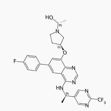 C[C@@H](Nc1ncnc2c(O[C@H]3CCN([C@@H](C)O)C3)cc(-c3ccc(F)cc3)cc12)c1cnc(C(F)(F)F)nc1